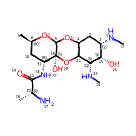 CN[C@H]1CC2OC3O[C@H](C)C[C@@H](NC(=O)[C@@H](C)N)[C@]3(O)OC2[C@@H](NC)[C@H]1O